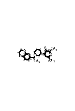 Cc1cc([C@H]2CCCN([C@H](C)c3ccc4c(n3)OCCO4)C2)c(F)c(C)n1